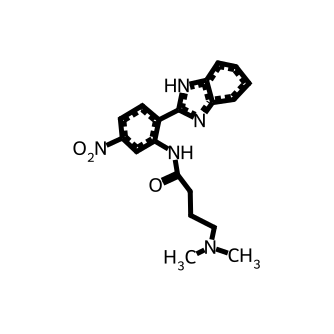 CN(C)CCCC(=O)Nc1cc([N+](=O)[O-])ccc1-c1nc2ccccc2[nH]1